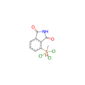 C[SH](Cl)(Cl)(Cl)c1cccc2c1C(=O)NC2=O